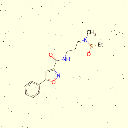 CC[S+]([O-])N(C)CCCNC(=O)c1cc(-c2ccccc2)on1